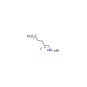 CCCNC[C@H](F)CCC(=O)OCC